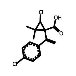 C=C(c1ccc(Cl)cc1)C1(C(=O)O)C(Cl)C1(C)C